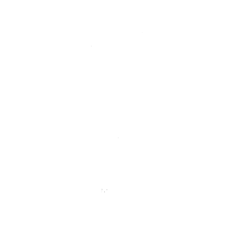 COc1cc(CC=CCOc2cccc([N+](=O)[O-])c2)cc(OC)c1